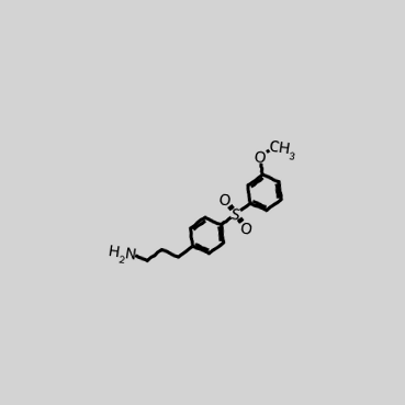 COc1cccc(S(=O)(=O)c2ccc(CCCN)cc2)c1